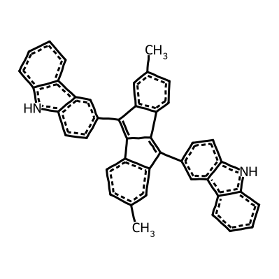 Cc1ccc2c(c1)C(c1ccc3[nH]c4ccccc4c3c1)=C1C2=C(c2ccc3[nH]c4ccccc4c3c2)c2cc(C)ccc21